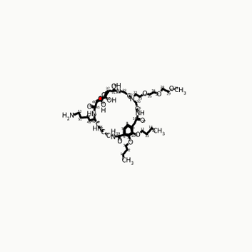 CCCCOc1c2ccc(c1OCCCC)C(=O)NCCN(CCOCCOCCOC)CCNC(=O)c1ccc(c(O)c1O)C(=O)NC(CCCCN)CNCCNC2=O